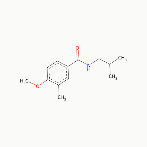 COc1ccc(C(=O)NCC(C)C)cc1C